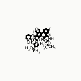 CN1CCC[C@@H](Nc2nc(N3CC[C@H](N(C)C)C3)nc3c(Cl)c(-c4ccc(F)c5sc(NC(=O)OC(C)(C)C)c(C#N)c45)c4c(c23)COC4)C1=O